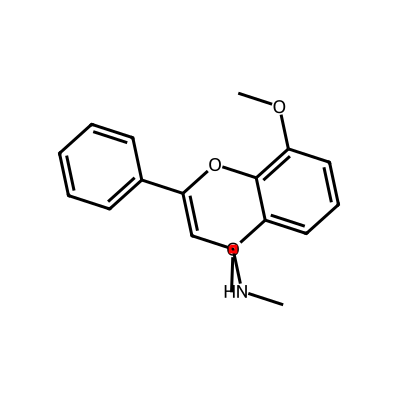 CNC/C=C(\Oc1c(OC)cccc1OC)c1ccccc1